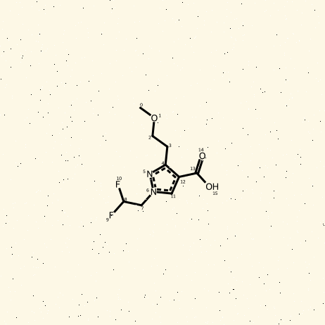 COCCc1nn(CC(F)F)cc1C(=O)O